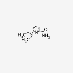 CCN(CC)c1cccc(C(N)=O)n1